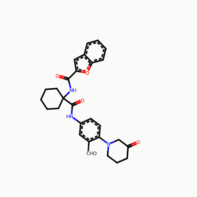 O=Cc1cc(NC(=O)C2(NC(=O)c3cc4ccccc4o3)CCCCC2)ccc1N1CCCC(=O)C1